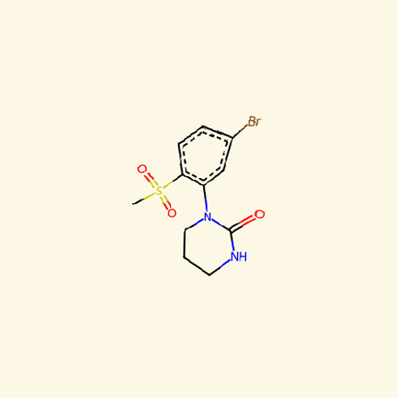 CS(=O)(=O)c1ccc(Br)cc1N1CCCNC1=O